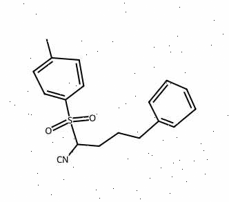 [C-]#[N+]C(CCCc1ccccc1)S(=O)(=O)c1ccc(C)cc1